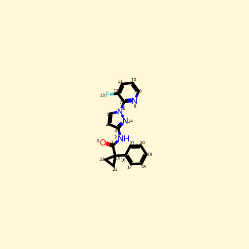 O=C(Nc1ccn(-c2ncccc2F)n1)C1(c2ccccc2)CC1